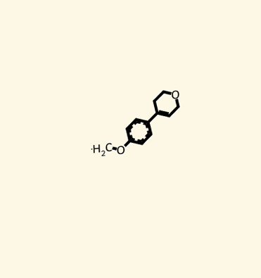 [CH2]Oc1ccc(C2=CCOCC2)cc1